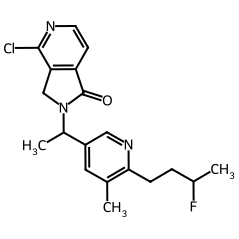 Cc1cc(C(C)N2Cc3c(ccnc3Cl)C2=O)cnc1CCC(C)F